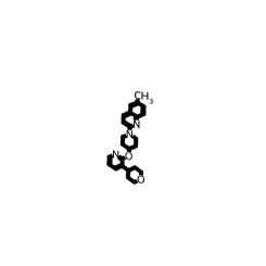 Cc1ccc2nc(N3CCC(Oc4ncccc4C4CCOCC4)CC3)ccc2c1